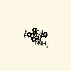 CC1CCCN1C(=O)c1cc(F)c(F)cc1-c1ccc2nc(N)nc(C(=O)N3Cc4ccccc4C3)c2c1